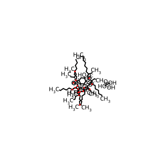 CCCCCCCC(CC)[S+]([O-])C1CC(O)([S+]([O-])C(CC)CCCCCCC)C([S+]([O-])C(CC)CCCCCCC)([S+]([O-])C(CC)CCCCCCC)C([S+]([O-])C(CC)CCCCCCC)([S+]([O-])C(CC)CCCCCCC)C1([S+]([O-])C(CC)CCCCCCC)[S+]([O-])C(CC)CCCCCCC.O=P(O)(O)O